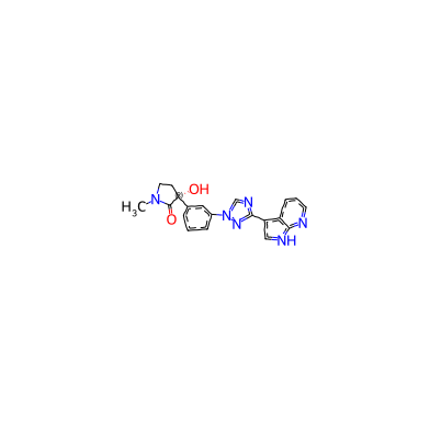 CN1CC[C@@](O)(c2cccc(-n3cnc(-c4c[nH]c5ncccc45)n3)c2)C1=O